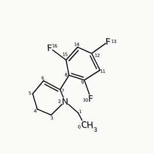 CCN1CCCC=C1c1c(F)cc(F)cc1F